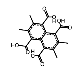 Cc1c(C)c(C(=O)O)c2c(C(=O)O)c(C)c(C)c(C(=O)O)c2c1C(=O)O